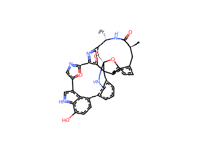 CC(C)[C@@H]1NC(=O)[C@@H](C)Cc2ccc3c(c2)C24c5cccc(c5N[C@H]2O3)-c2ccc(O)c3[nH]cc(c23)-c2cnc(o2)-c2nc1oc24